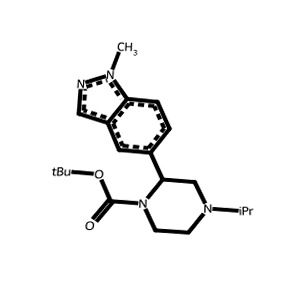 CC(C)N1CCN(C(=O)OC(C)(C)C)C(c2ccc3c(cnn3C)c2)C1